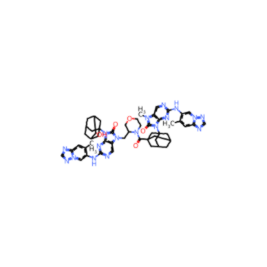 Cc1cc2ncnn2cc1Nc1ncc2c(n1)n(C13CC4CC(CC(C(=O)N5CCOCC5Cn5c(=O)n(C67CC8CC(C6)C(O)C(C8)C7)c6nc(Nc7cn8ncnc8cc7C)ncc65)(C4)C1)C3)c(=O)n2C